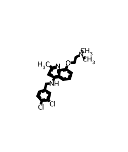 Cc1cc(NCc2ccc(Cl)c(Cl)c2)c2cccc(OCCN(C)C)c2n1